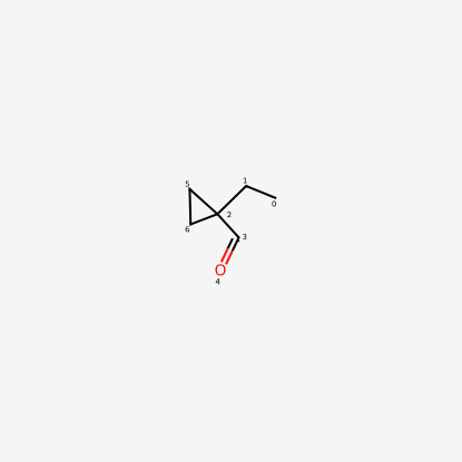 CCC1([C]=O)CC1